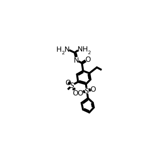 CCc1cc(S(=O)(=O)c2ccccc2)c(S(C)(=O)=O)cc1C(=O)N=C(N)N